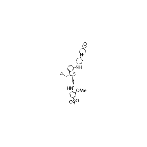 COc1cc(S(C)(=O)=O)ccc1NCC#Cc1sc2c(NC3CCC(N4CCC5(CC4)COC5)CC3)cccc2c1CC1CC1